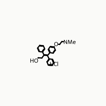 CNCCOc1ccc(C(=C(CCO)c2ccccc2)c2ccccc2)cc1.Cl